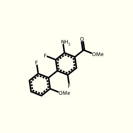 COC(=O)c1cc(F)c(-c2c(F)cccc2OC)c(F)c1N